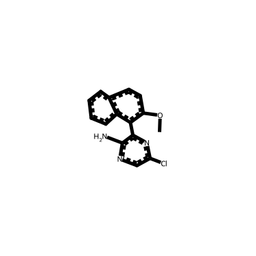 COc1ccc2ccccc2c1-c1nc(Cl)cnc1N